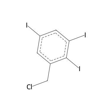 ClCc1cc(I)cc(I)c1I